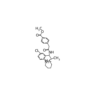 COC(=O)c1ccc(CC(=O)NC(c2cc(Cl)ccc2N2CCCCC2)C(C)C)cc1